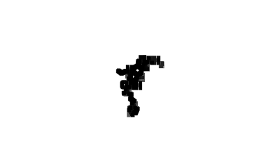 CCCN1C[C@@H](NC(=O)N(C)CCCn2ccnc2)C[C@@H]2Cc3nc(N)ncc3C[C@H]21